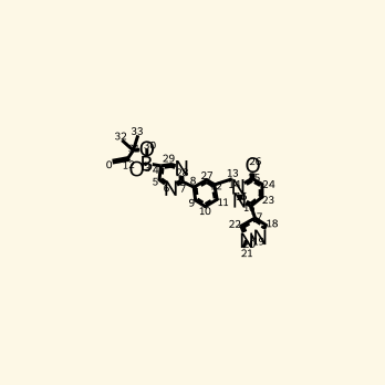 C=C1OB(c2cnc(-c3cccc(Cn4nc(-c5cnn(C)c5)ccc4=O)c3)nc2)OC1(C)C